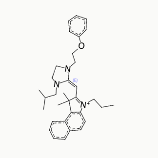 CCC[N+]1=C(/C=C2/N(CCOc3ccccc3)CCN2CC(C)C)C(C)(C)c2c1ccc1ccccc21